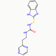 O=C(NCCc1cnccn1)NSc1nc2ccccc2[nH]1